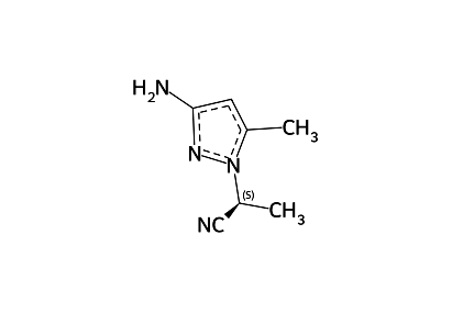 Cc1cc(N)nn1[C@@H](C)C#N